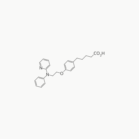 O=C(O)CCCCc1ccc(OCCN(c2ccccc2)c2ccccn2)cc1